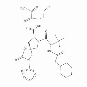 CCC[C@H](NC(=O)[C@@H]1C[C@]2(CN(c3ccccc3)C(=O)O2)CN1C(=O)[C@@H](NC(=O)CC1CCCCC1)C(C)(C)C)C(=O)C(N)=O